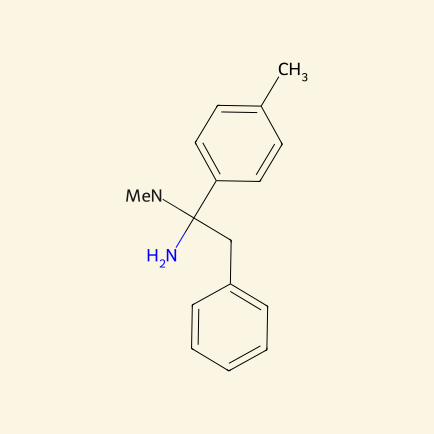 CNC(N)(Cc1ccccc1)c1ccc(C)cc1